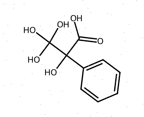 O=C(O)C(O)(c1ccccc1)C(O)(O)O